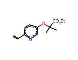 C=Cc1ccc(OC(C)(C)C(=O)OCC)cn1